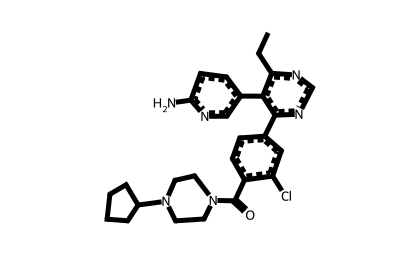 CCc1ncnc(-c2ccc(C(=O)N3CCN(C4CCCC4)CC3)c(Cl)c2)c1-c1ccc(N)nc1